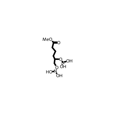 COC(=O)CCCC(CON(O)O)ON(O)O